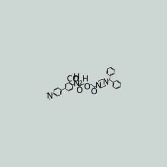 CN(C)c1ccc(-c2ccc(NC(=O)COCC(=O)N3CCN(C(c4ccccc4)c4ccccc4)CC3)c(C(=O)O)c2)cc1